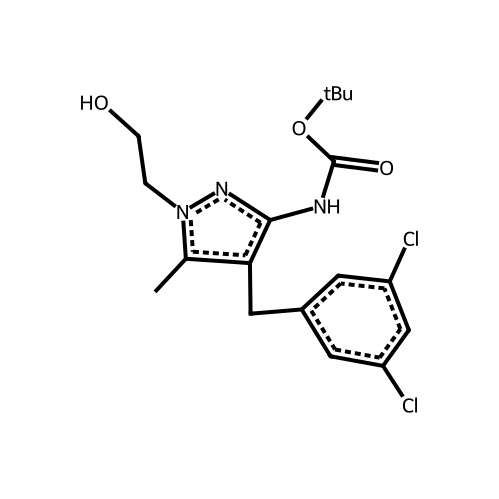 Cc1c(Cc2cc(Cl)cc(Cl)c2)c(NC(=O)OC(C)(C)C)nn1CCO